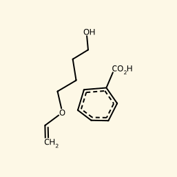 C=COCCCCO.O=C(O)c1ccccc1